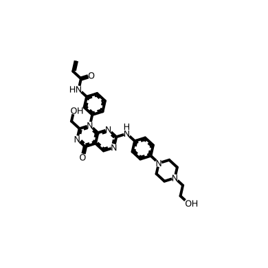 C=CC(=O)Nc1cccc(-n2c(CO)nc(=O)c3cnc(Nc4ccc(N5CCN(CCO)CC5)cc4)nc32)c1